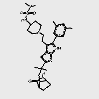 Cc1cc(C)cc(-c2[nH]c3sc(C(C)(C)CC4C5CCC4C(=O)N5)cc3c2CCN2CCC(NS(=O)(=O)N(C)C)CC2)c1